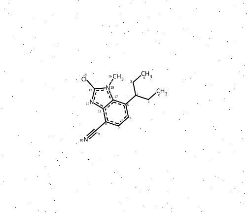 CCC(CC)c1ccc(C#N)c2nc(Cl)n(C)c12